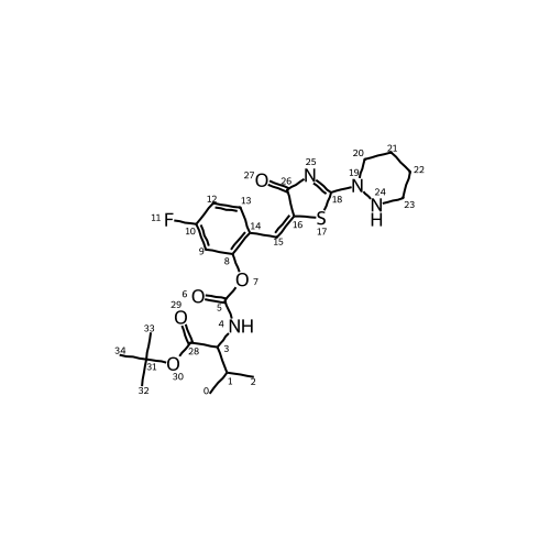 CC(C)C(NC(=O)Oc1cc(F)ccc1C=C1SC(N2CCCCN2)=NC1=O)C(=O)OC(C)(C)C